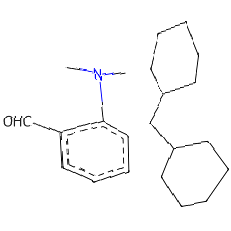 C1CCC(CC2CCCCC2)CC1.CN(C)c1ccccc1C=O